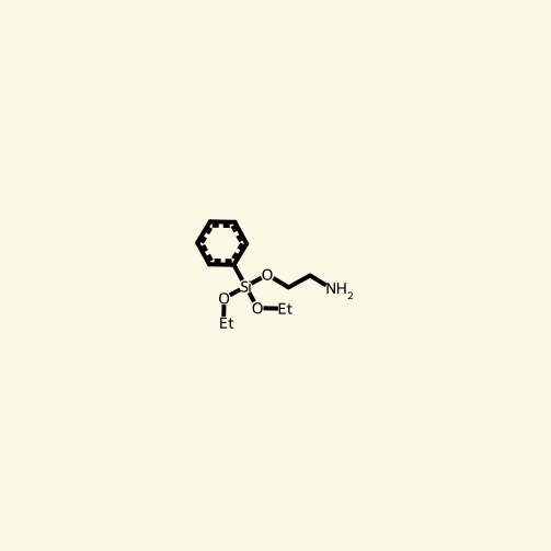 CCO[Si](OCC)(OCCN)c1ccccc1